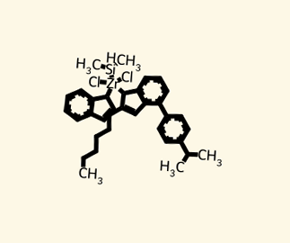 CCCCCCC1=Cc2c(-c3ccc(C(C)C)cc3)cccc2[CH]1[Zr]([Cl])([Cl])([CH]1C=Cc2ccccc21)[SiH](C)C